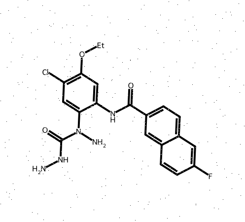 CCOc1cc(NC(=O)c2ccc3cc(F)ccc3c2)c(N(N)C(=O)NN)cc1Cl